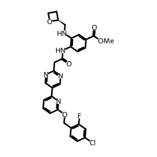 COC(=O)c1ccc(NC(=O)Cc2ncc(-c3cccc(OCc4ccc(Cl)cc4F)n3)cn2)c(NC[C@@H]2CCO2)c1